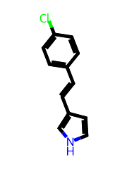 Clc1ccc(C=Cc2cc[nH]c2)cc1